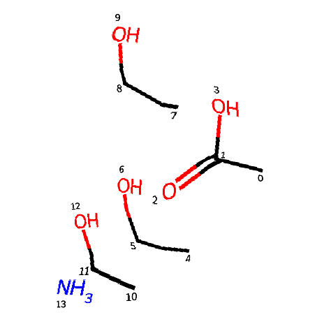 CC(=O)O.CCO.CCO.CCO.N